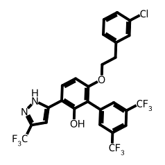 Oc1c(-c2cc(C(F)(F)F)n[nH]2)ccc(OCCc2cccc(Cl)c2)c1-c1cc(C(F)(F)F)cc(C(F)(F)F)c1